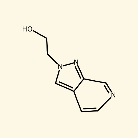 OCCn1cc2ccncc2n1